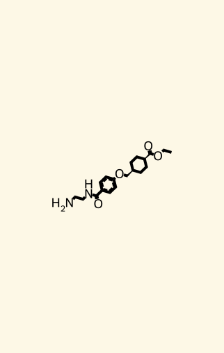 CCOC(=O)[C@H]1CC[C@@H](COc2ccc(C(=O)NCCN)cc2)CC1